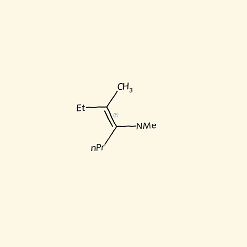 CCC/C(NC)=C(/C)CC